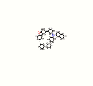 c1ccc(-c2cccc(-c3ccc(N(c4cccc(-c5ccc6oc7ccccc7c6c5)c4)c4ccc5ccccc5c4)cc3)c2)cc1